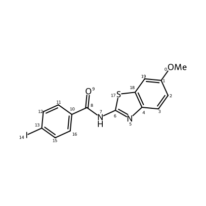 COc1ccc2nc(NC(=O)c3ccc(I)cc3)sc2c1